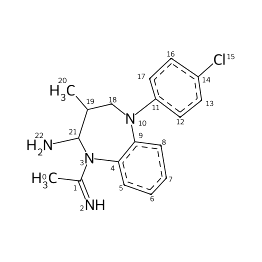 CC(=N)N1c2ccccc2N(c2ccc(Cl)cc2)CC(C)C1N